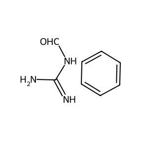 N=C(N)NC=O.c1ccccc1